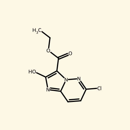 CCOC(=O)c1c(O)nc2ccc(Cl)nn12